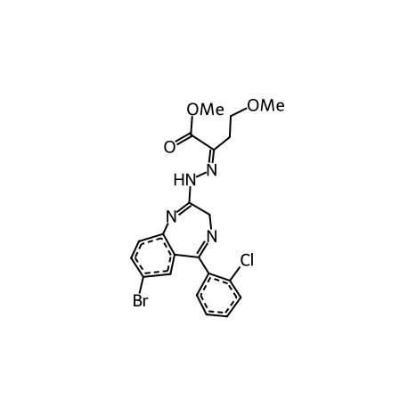 COCCC(=NNC1=Nc2ccc(Br)cc2C(c2ccccc2Cl)=NC1)C(=O)OC